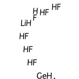 F.F.F.F.F.F.[GeH4].[LiH]